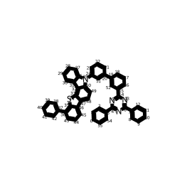 c1ccc(-c2nc(-c3ccccc3)nc(-c3cccc(-c4cccc(-n5c6ccccc6c6c7sc8c(-c9ccccc9)cccc8c7ccc65)c4)c3)n2)cc1